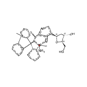 COc1ccccc1C(c1ccccc1)(c1ccccc1OC)n1c(N)nc2c(ncn2[C@H]2C[C@H](O)[C@@H](CO)O2)c1=O